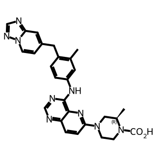 Cc1cc(Nc2ncnc3ccc(N4CCN(C(=O)O)[C@H](C)C4)nc23)ccc1Cc1ccn2ncnc2c1